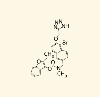 CCc1oc2ccccc2c1OC(=O)N(C)Cc1ccc2c(Br)c(OCc3nnn[nH]3)ccc2c1